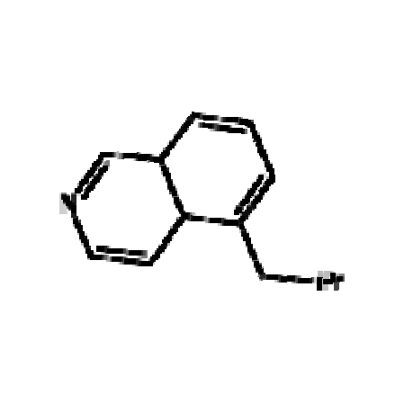 CC(C)CC1=CC=CC2C=NC=CC12